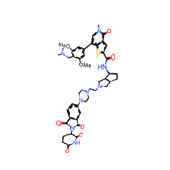 COc1cc(-c2cn(C)c(=O)c3cc(C(=O)NC4CCC5CN(CCN6CCN(c7ccc8c(c7)C(=O)N(C7CCC(=O)NC7=O)C8=O)CC6)CC54)sc23)cc(OC)c1CN(C)C